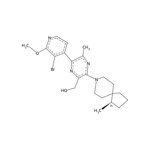 COc1nccc(-c2nc(CO)c(N3CCC4(CCC[C@H]4C)CC3)nc2C)c1Br